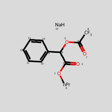 CCCOC(=O)C(OC(=O)C(F)(F)F)c1ccccc1.[NaH]